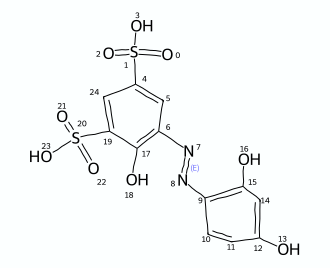 O=S(=O)(O)c1cc(/N=N/c2ccc(O)cc2O)c(O)c(S(=O)(=O)O)c1